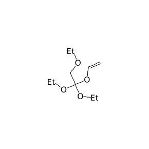 [CH2]COC(COCC)(OC=C)OCC